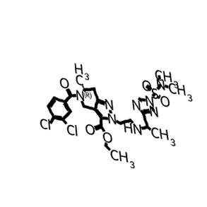 CCOC(=O)c1c2c(nn1CCNC(C)c1ncn(S(=O)(=O)N(C)C)n1)C[C@@H](C)N(C(=O)c1ccc(Cl)c(Cl)c1)C2